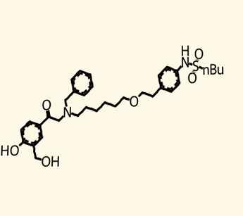 CCCCS(=O)(=O)Nc1ccc(CCOCCCCCCN(CC(=O)c2ccc(O)c(CO)c2)Cc2ccccc2)cc1